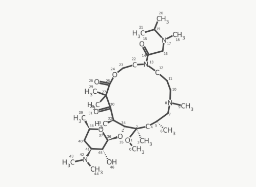 CO[C@]1(C)C[C@@H](C)CN(C)CCCN(C(=O)CN(C)C(C)C)CCOC(=O)C(C)(C)C(=O)[C@H](C)[C@H]1O[C@@H]1O[C@H](C)C[C@H](N(C)C)[C@H]1O